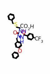 O=C(NN(Cc1ccc(Oc2ccccc2)cc1)C(=O)NC(CSCc1ccccc1)C(=O)O)c1ccc(C(F)(F)F)cc1